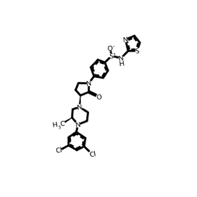 C[C@H]1CN([C@H]2CCN(c3ccc([S+]([O-])Nc4nccs4)cc3)C2=O)CCN1c1cc(Cl)cc(Cl)c1